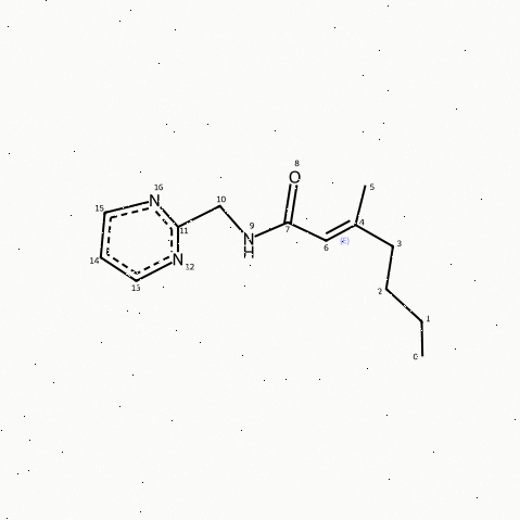 CCCC/C(C)=C/C(=O)NCc1ncccn1